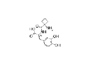 NC1(C(=O)N[C@@H](Cc2ccc(O)c(O)c2)C(=O)O)CCC1